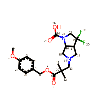 COc1ccc(COC(=O)C(C)(C)CN2CC3C(C2)C(F)(F)CN3C(=O)O)cc1